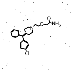 NC(=O)COCCN1CCC(=C(c2ccccc2)c2ccc(Cl)cc2)CC1